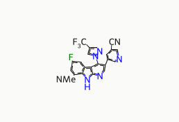 CNc1cc(F)cc2c1[nH]c1ncc(-c3cncc(C#N)c3)c(-n3cc(C(F)(F)F)cn3)c12